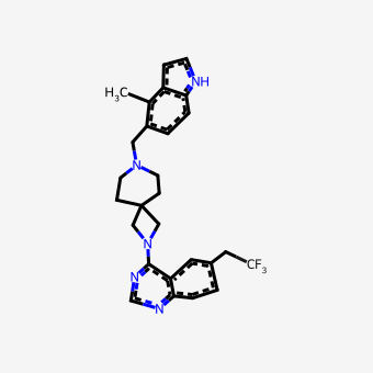 Cc1c(CN2CCC3(CC2)CN(c2ncnc4ccc(CC(F)(F)F)cc24)C3)ccc2[nH]ccc12